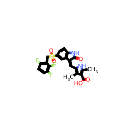 Cc1[nH]c(/C=C2\C(=O)Nc3ccc(S(=O)(=O)Cc4c(F)ccc(F)c4F)cc32)c(C)c1C(=O)O